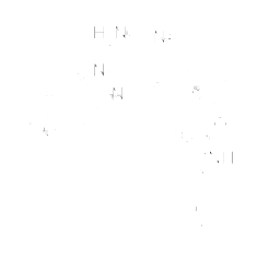 COCCNC(=O)Oc1ccc(-c2cnc(N)c(-c3nc4ccc(OC)cc4[nH]3)c2)s1